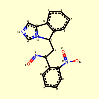 O=NC(CC1c2ccccc2-c2cncn21)c1ccccc1[N+](=O)[O-]